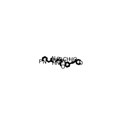 CN1C(=O)[C@@H](NC(=O)n2cc(Cc3cccc(F)n3)cn2)COc2ccc(C#CC3(O)CCOCC3)cc21